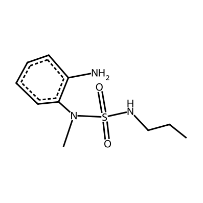 CCCNS(=O)(=O)N(C)c1ccccc1N